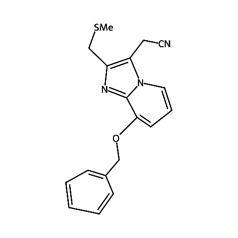 CSCc1nc2c(OCc3ccccc3)cccn2c1CC#N